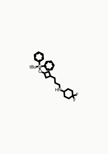 CC(C)(C)[Si](OC1CC(CCCNC2CCC(F)(F)CC2)C1)(c1ccccc1)c1ccccc1